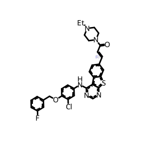 CCN1CCN(C(=O)/C=C/c2ccc3c(c2)sc2ncnc(Nc4ccc(OCc5cccc(F)c5)c(Cl)c4)c23)CC1